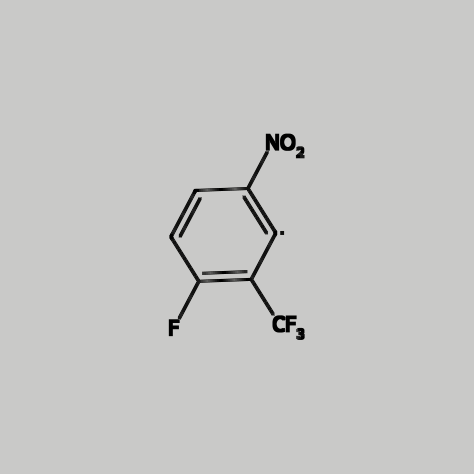 O=[N+]([O-])c1[c]c(C(F)(F)F)c(F)cc1